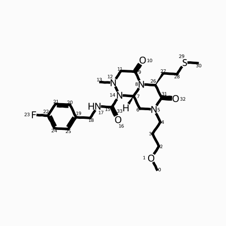 COCCCN1C[C@H]2N(C(=O)CN(C)N2C(=O)NCc2ccc(F)cc2)[C@@H](CCSC)C1=O